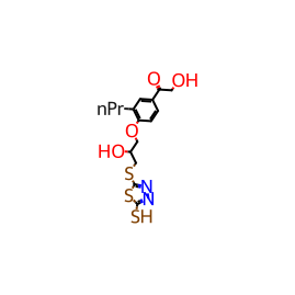 CCCc1cc(C(=O)CO)ccc1OCC(O)CSc1nnc(S)s1